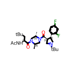 CC(=O)N[C@@H](CC(C)(C)C)C(=O)N1C[C@H](C)N(C(=O)[C@@H]2CN(C(C)(C)C)C[C@H]2c2ccc(F)cc2F)C[C@H]1C